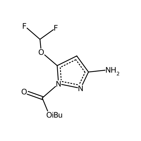 CC(C)COC(=O)n1nc(N)cc1OC(F)F